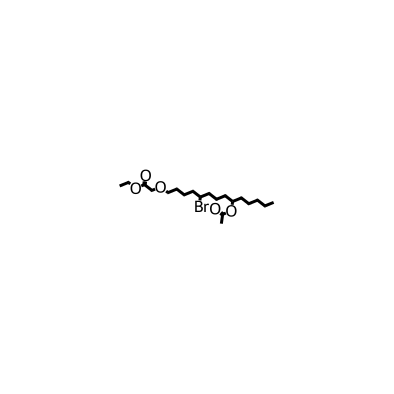 CCCCCC(CCCC(Br)CCCCOCC(=O)OCC)OC(C)=O